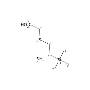 C[Si](C)(C)CCSCC(=O)O.[SiH4]